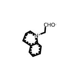 O=[C]C[n+]1cccc2ccccc21